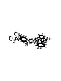 CCOc1ccccc1-n1c(C(C)N2CCN(C(=O)c3ccc(Cl)c([N+](=O)[O-])c3)CC2)nc2ccccc2c1=O